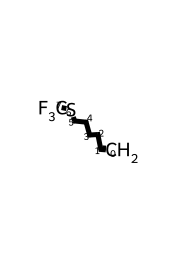 C=CCCCCSC(F)(F)F